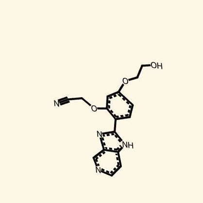 N#CCOc1cc(OCCO)ccc1-c1nc2cnccc2[nH]1